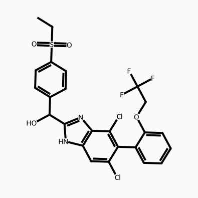 CCS(=O)(=O)c1ccc(C(O)c2nc3c(Cl)c(-c4ccccc4OCC(F)(F)F)c(Cl)cc3[nH]2)cc1